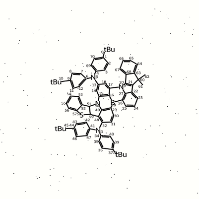 CC(C)(C)c1ccc(N(c2ccc(C(C)(C)C)cc2)c2cc3c4c(c2)-n2c5c(c6cccc(c62)B4c2ccc(N(c4ccc(C(C)(C)C)cc4)c4ccc(C(C)(C)C)cc4)c4c2N3C2c3ccccc3SC42)C(C)(C)c2ccccc2-5)cc1